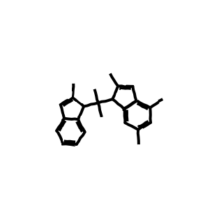 CC1=Cc2ccccc2C1C(C)(C)C1C(C)=Cc2c(C)cc(C)cc21